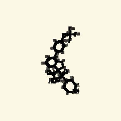 O=C(O)C1(S(=O)(=O)N2CCNCC2)CCc2c(-c3ccc(OC(F)(F)F)cc3)cccc21